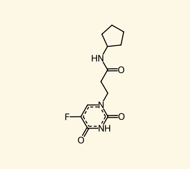 O=C(CCn1cc(F)c(=O)[nH]c1=O)NC1CCCC1